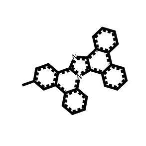 Cc1ccc2c(c1)c1ccccc1n1c2nc2c3ccccc3c3ccccc3c21